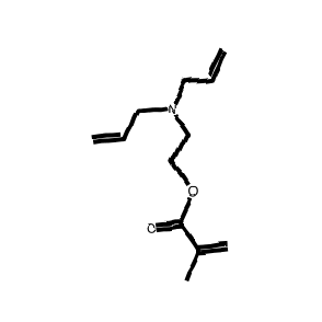 C=CCN(CC=C)CCOC(=O)C(=C)C